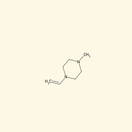 C=CN1CCN(C)CC1